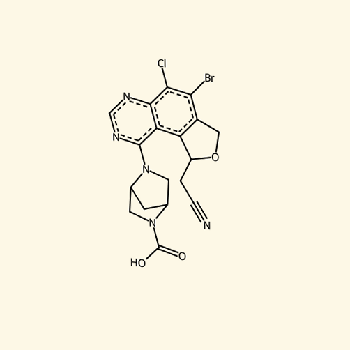 N#CCC1OCc2c(Br)c(Cl)c3ncnc(N4CC5CC4CN5C(=O)O)c3c21